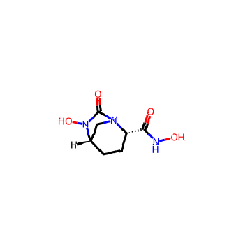 O=C(NO)[C@@H]1CC[C@H]2CN1C(=O)N2O